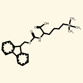 C[N+](C)(C)CCCCC(NC(=O)OCC1c2ccccc2-c2ccccc21)C(=O)O